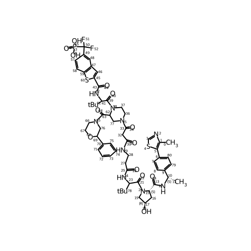 Cc1ncsc1-c1ccc([C@H](C)NC(=O)[C@@H]2C[C@@H](O)CN2C(=O)C(NC(=O)CCNC(=O)CC(=O)N2CCN(C(=O)C(NC(=O)c3cc4cc(C(F)(F)P(=O)(O)O)ccc4s3)C(C)(C)C)C(C(=O)N3CCOC(c4ccccc4)C3)C2)C(C)(C)C)cc1